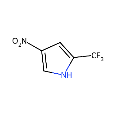 O=[N+]([O-])c1c[nH]c(C(F)(F)F)c1